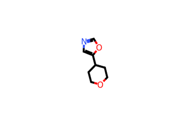 c1ncc(C2CCOCC2)o1